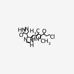 Cc1[nH]c(C=C2NC=CN=C2C2C=NNC2=O)c(C)c1C(=O)CCCl